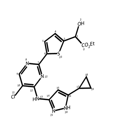 CCOC(=O)C(O)c1ccc(-c2ncc(Cl)c(Nc3cc(C4CC4)[nH]n3)n2)s1